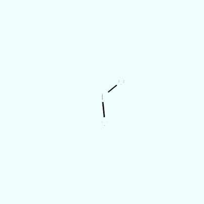 [I+].[O-][I+][O-]